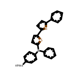 CCCCCCc1ccc(B(c2ccccc2)c2ccc(-c3ccc(-c4ccccc4)s3)s2)cc1